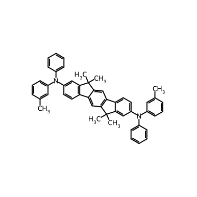 Cc1cccc(N(c2ccccc2)c2ccc3c(c2)C(C)(C)c2cc4c(cc2-3)C(C)(C)c2cc(N(c3ccccc3)c3cccc(C)c3)ccc2-4)c1